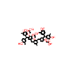 Cc1cc(Cc2ccc(OCC(=O)O)c(C(c3ccc(O)c(C)c3)c3ccc(O)c(C)c3)c2)c(OCC(=O)O)c(Cc2ccc(OCC(=O)O)c(C(c3ccc(O)c(C)c3)c3ccc(O)c(C)c3)c2)c1